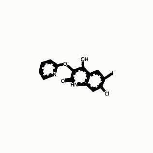 O=c1[nH]c2cc(Cl)c(I)cc2c(O)c1Oc1ccccn1